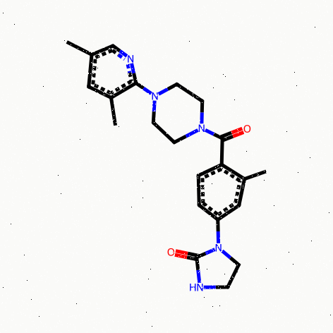 Cc1cnc(N2CCN(C(=O)c3ccc(N4CCNC4=O)cc3C)CC2)c(C)c1